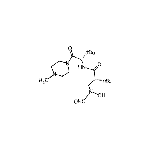 CCCC[C@H](CN(O)C=O)C(=O)N[C@H](C(=O)N1CCN(C)CC1)C(C)(C)C